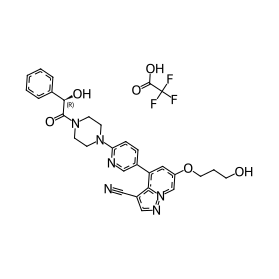 N#Cc1cnn2cc(OCCCO)cc(-c3ccc(N4CCN(C(=O)[C@H](O)c5ccccc5)CC4)nc3)c12.O=C(O)C(F)(F)F